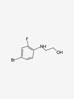 OCCNc1ccc(Br)cc1F